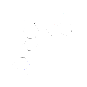 CN1Cc2cc(-c3cccnn3)ccc2C(c2cc3cccc(F)c3o2)C1